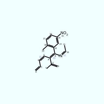 C=C\C=C/C(C(=C)C)=C(/N=C\C)c1cc([N+](=O)[O-])ccc1C